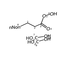 CCCCCCCCCCCC(=O)OO.O=C(O)O.O=C(O)O